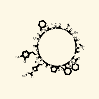 CC[C@H](C)[C@@H]1NC(=O)[C@H](CC(C)C)N(C)C(=O)C[C@@H](C(=O)N2CCCCC2)N(C)C(=O)C(C2CCCCC2)N(C)C(=O)C2(CCCC2)NC(=O)[C@H](CC=C2CN(C(=O)OC(C)(C)C)C2)N(C)C(=O)[C@@H](CCc2ccc(C(F)(F)F)c(Cl)c2)NC(=O)CN(C)C(=O)[C@H](CC2CCCCC2)N(C)C(=O)CN(C)C(=O)CN(C)C1=O